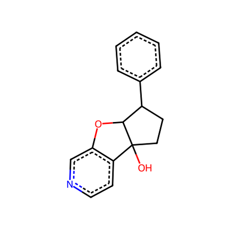 OC12CCC(c3ccccc3)C1Oc1cnccc12